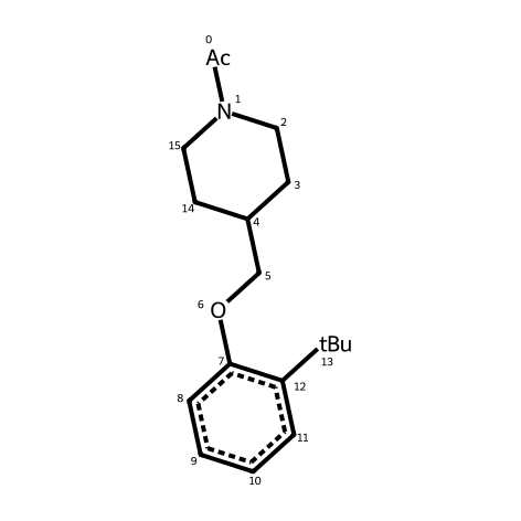 CC(=O)N1CCC(COc2ccccc2C(C)(C)C)CC1